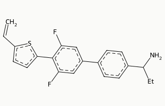 C=Cc1ccc(-c2c(F)cc(-c3ccc(C(N)CC)cc3)cc2F)s1